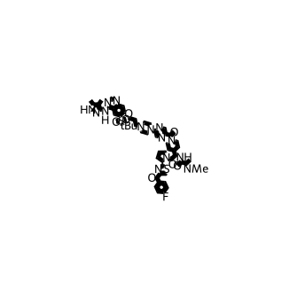 CN[C@@H](C)C(=O)N[C@H](C(=O)N1CCC[C@H]1c1nc(C(=O)c2ccc(F)cc2)cs1)C1CCN(C(=O)c2cnc(N3CCN(CCCOc4cc5ncnc(Nc6n[nH]c(C)c6C)c5cc4S(=O)(=O)C(C)(C)C)CC3)cn2)CC1